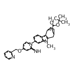 Cn1c2c(c3ccc(-n4ccc(OCc5ccccn5)cc4=N)cc31)C1CCC(C2)N1C(=O)OC(C)(C)C